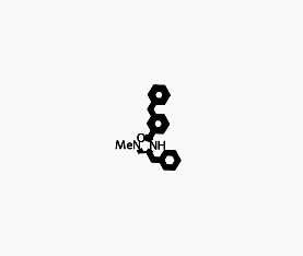 CNC[C@H](CC1CCCCC1)NC(=O)c1cccc(Cc2ccccc2)c1